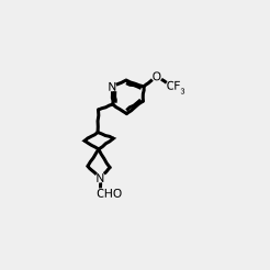 O=CN1CC2(CC(Cc3ccc(OC(F)(F)F)cn3)C2)C1